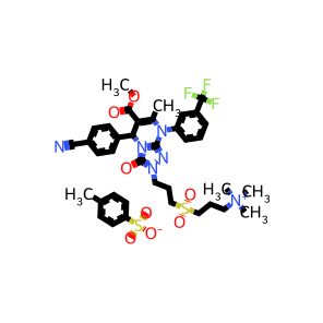 COC(=O)C1=C(C)N(c2cccc(C(F)(F)F)c2)c2nn(CCCS(=O)(=O)CCC[N+](C)(C)C)c(=O)n2C1c1ccc(C#N)cc1.Cc1ccc(S(=O)(=O)[O-])cc1